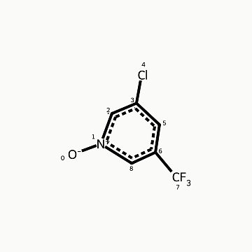 [O-][n+]1[c]c(Cl)cc(C(F)(F)F)c1